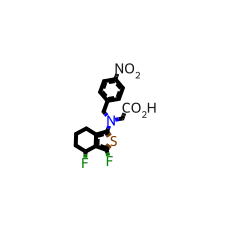 O=C(O)CN(Cc1ccc([N+](=O)[O-])cc1)c1sc(F)c2c1CCCC2F